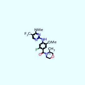 CNc1nc(Nc2cc(F)c(C(=O)N3CCOC[C@@H]3C)cc2OC)ncc1C(F)(F)F